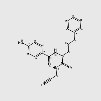 N#CCNC(=O)C(CSCc1ccccc1)NC(=O)c1ccc(O)cc1